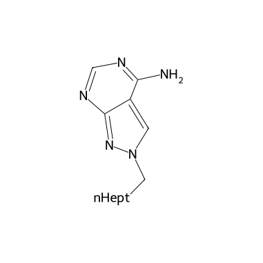 CCCCCCCCn1cc2c(N)ncnc2n1